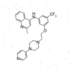 Cc1cc(Nc2cc(OCCN3CCN(c4ccncc4)CC3)cc(C(F)(F)F)c2)c2ccccc2n1